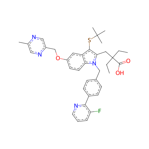 CCC(CC)(Cc1c(SC(C)(C)C)c2cc(OCc3cnc(C)cn3)ccc2n1Cc1ccc(-c2ncccc2F)cc1)C(=O)O